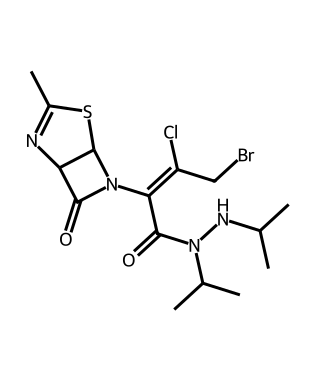 CC1=NC2C(=O)N(C(C(=O)N(NC(C)C)C(C)C)=C(Cl)CBr)C2S1